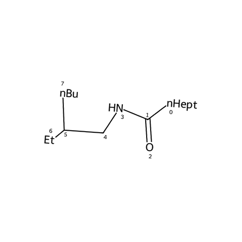 CCCCCCCC(=O)NCC(CC)CCCC